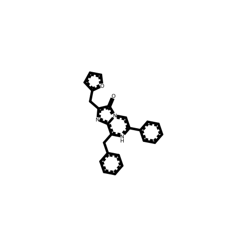 O=c1c(Cc2ccco2)nc2c(Cc3ccccc3)[nH]c(-c3ccccc3)cn1-2